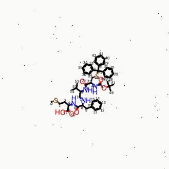 CSCCC(NC(=O)C(Cc1ccccc1)NCC(NC(=O)[C@@H](CSC(c1ccccc1)(c1ccccc1)c1ccccc1)NC(=O)OC(C)(C)C)C(C)C)C(=O)O